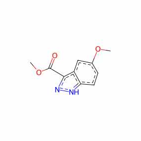 COC(=O)c1n[nH]c2ccc(OC)cc12